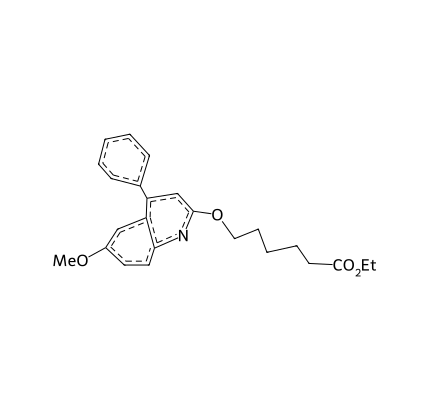 CCOC(=O)CCCCCOc1cc(-c2ccccc2)c2cc(OC)ccc2n1